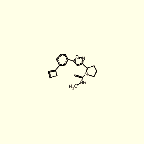 CNC(=S)N1CCCC1c1cc(-c2cccc(C3=C=CC3)c2)on1